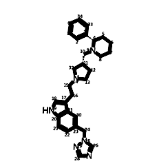 c1ccc([C@@H]2CCCCN2C[C@@H]2CCN(CCc3c[nH]c4ccc(Cn5cncn5)cc34)C2)cc1